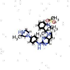 CC1CN(c2ccc(Nc3ncc4ccn(C(C)(C)c5ccccc5N(C)S(C)(=O)=O)c4n3)cc2)CCN1